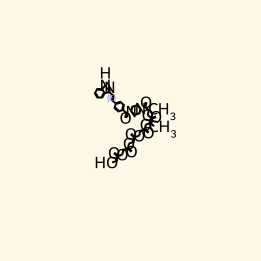 CC(OC(=O)COC(=O)COC(=O)COC(=O)CO)C(=O)OC(C)C(=O)N1CCN(C(=O)c2ccc(/C=C/c3n[nH]c4ccccc34)cc2)CC1